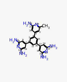 Cc1cc(-c2cc(-c3cc(N)nc(N)c3)cc(-c3cc(N)nc(N)c3)c2)cc(N)n1